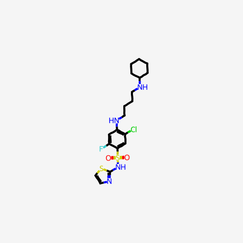 O=S(=O)(Nc1nccs1)c1cc(Cl)c(NCCCCNC2CCCCC2)cc1F